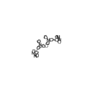 c1ccc(-n2c3ccc(-c4cc5cccnc5c5ncccc45)cc3c3cc4c(cc32)-c2cc3c(cc2CC4)c2cc(-c4cc5cccnc5c5ncccc45)ccc2n3-c2ccccc2)cc1